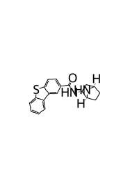 O=C(N[C@@H]1C[C@H]2CC[C@@H]1N2)c1ccc2sc3ccccc3c2c1